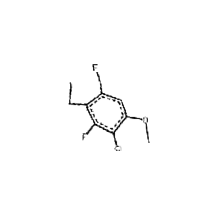 CCc1c(F)cc(OC)c(Cl)c1F